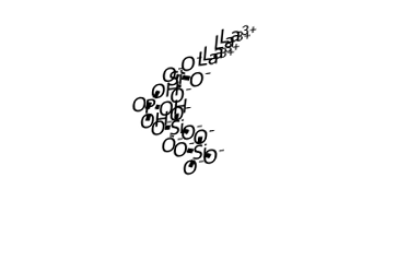 O=P(O)(O)O.[La+3].[La+3].[La+3].[La+3].[O-][Si]([O-])([O-])[O-].[O-][Si]([O-])([O-])[O-].[O-][Si]([O-])([O-])[O-]